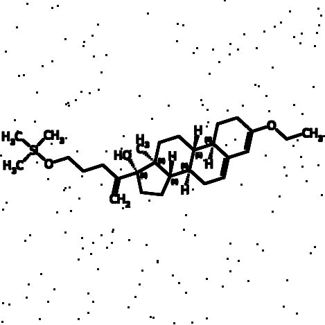 C=C(CCCO[Si](C)(C)C)[C@]1(O)CC[C@H]2[C@@H]3CC=C4C=C(OCC)CC[C@@H]4[C@H]3CC[C@@]21C